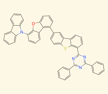 c1ccc(-c2nc(-c3ccccc3)nc(-c3cccc4c3sc3ccc(-c5cccc6oc7c(-n8c9ccccc9c9ccccc98)cccc7c56)cc34)n2)cc1